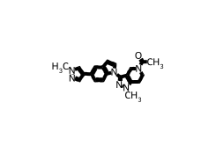 CC(=O)N1CCc2c(c(-n3ccc4cc(-c5cnn(C)c5)ccc43)nn2C)C1